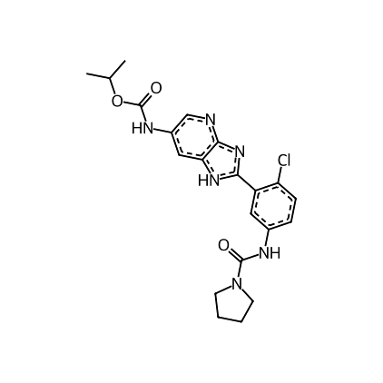 CC(C)OC(=O)Nc1cnc2nc(-c3cc(NC(=O)N4CCCC4)ccc3Cl)[nH]c2c1